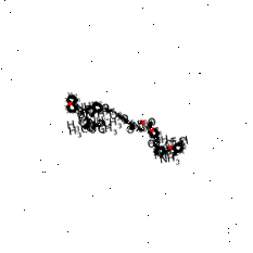 CN[C@@H](C)C(=O)N[C@H](C(=O)N1Cc2cc(OCCOCCOCCC(=O)N3CCN(C(=O)c4ccc(NC(=O)c5cnc(N)c(O[C@H](C)c6c(F)ccc(Cl)c6F)c5)cc4)CC3)ccc2C[C@H]1C(=O)N[C@@H]1CCCc2ccccc21)C(C)(C)C